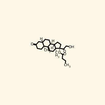 CCCC(=O)O[C@@]1(C(=O)CO)CC[C@H]2[C@@H]3CC[C@H]4CC(=O)CC[C@]4(C)C3=CC[C@@]21C